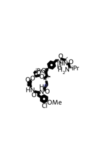 COc1ccc(CC2NC(=O)/C=C/C[C@@H]([C@H](C)[C@H]3O[C@@H]3c3ccc(CNC(=O)[C@H](C)NC(=O)[C@@H](N)C(C)C)cc3)OC(=O)[C@H](CC(C)C)OC(=O)C(C)(C)CNC2=O)cc1Cl